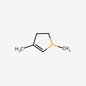 CC1=CP(C)CC1